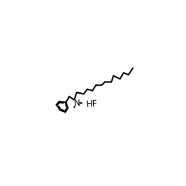 CCCCCCCCCCCCCC(Cc1ccccc1)N(C)C.F